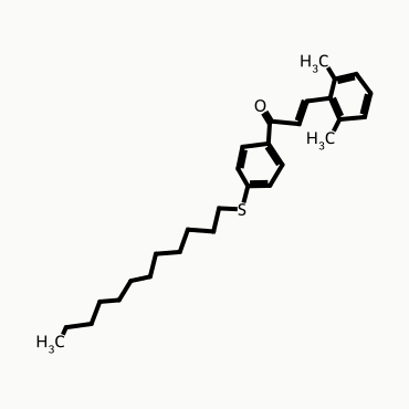 CCCCCCCCCCCCSc1ccc(C(=O)/C=C/c2c(C)cccc2C)cc1